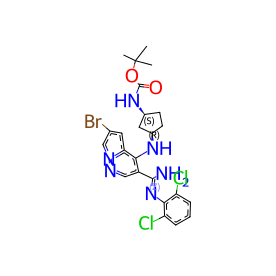 CC(C)(C)OC(=O)N[C@H]1CC[C@@H](Nc2c(/C(N)=N/c3c(Cl)cccc3Cl)cnn3cc(Br)cc23)C1